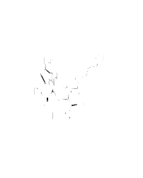 CCCCOC(=O)N1C[C@]2(C[C@H]1C(N)=O)C(=O)Nc1cc(Br)nn12